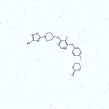 Cc1c(Oc2ccc(C[C@H]3CO[S@@](=O)OC3)cc2)ncnc1OC1CCN(c2nc(C(C)C)no2)CC1